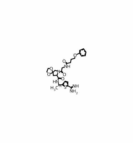 C[C@@H](NC(=O)C1CC2(CN1C(=O)CNC(=O)CCCOc1ccccc1)OCCO2)c1ccc(C(=N)N)s1